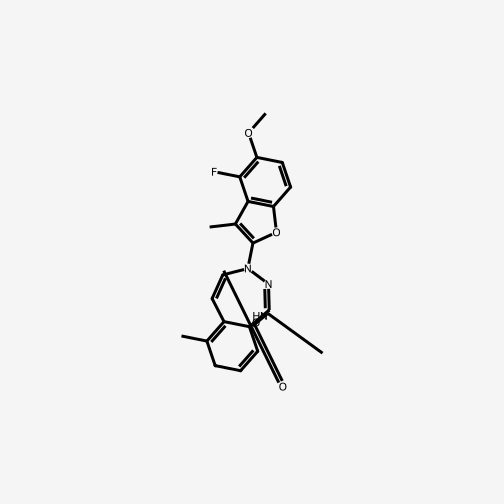 COc1ccc2oc(N3C=CC4=C(C)CC=CC45OC(=O)C(C)NC5=N3)c(C)c2c1F